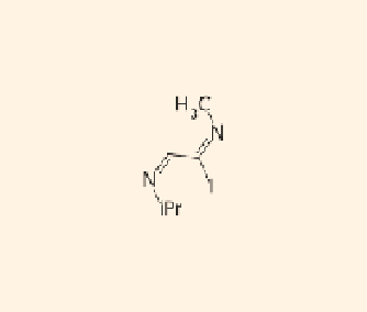 C/N=C(I)\C=N/C(C)C